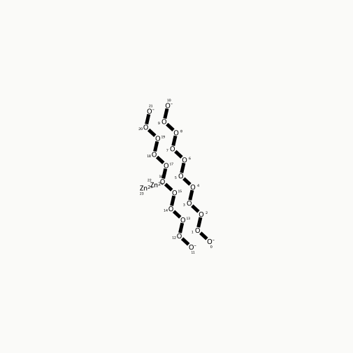 [O-]OOOOOOOOO[O-].[O-]OOOOOOOOO[O-].[Zn+2].[Zn+2]